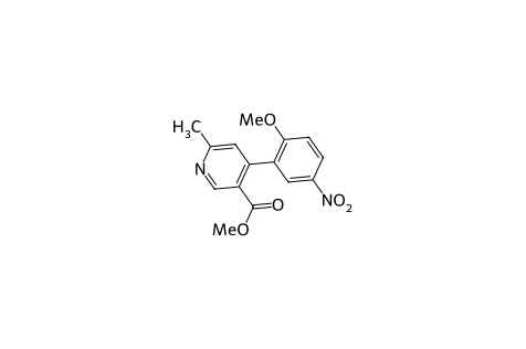 COC(=O)c1cnc(C)cc1-c1cc([N+](=O)[O-])ccc1OC